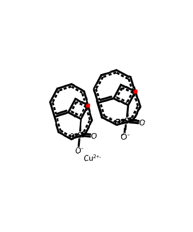 O=S(=O)([O-])c1ccccc/c2cccccc/c1=2.O=S(=O)([O-])c1ccccc/c2cccccc/c1=2.[Cu+2]